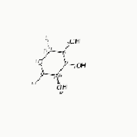 CC1O[C@H](C)C(O)C(O)[C@H]1O